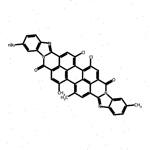 CCCCc1ccc2nc3c4cc(Cl)c5c6c(Cl)cc7c(=O)n8c9cc(C)ccc9nc8c8cc(C)c(c9c(C)cc(c(=O)n3c2c1)c4c95)c6c78